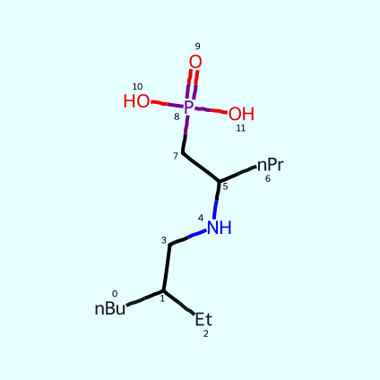 CCCCC(CC)CNC(CCC)CP(=O)(O)O